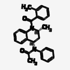 CC(=O)N(c1ccccc1)[C@H]1C[C@@H](C)N(C(=O)c2ccccc2C)c2ccccc21